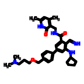 Cc1cc(C)c(CNC(=O)c2cc(-c3ccc(COCCCN(C)C)cc3)cc(NC3CCCC3)c2C=N)c(=O)[nH]1